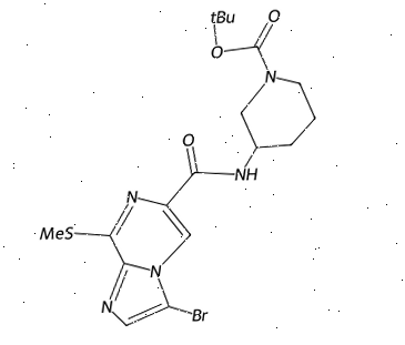 CSc1nc(C(=O)NC2CCCN(C(=O)OC(C)(C)C)C2)cn2c(Br)cnc12